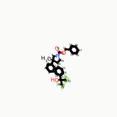 C[C@@]1(c2ccccc2)CN(C(=O)OCc2ccccc2)C[C@@H]1c1ccc(C(O)(C(F)(F)F)C(F)(F)F)cc1